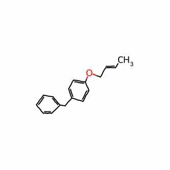 CC=CCOc1ccc(Cc2ccccc2)cc1